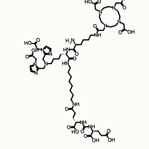 N[C@@H](CCCCNC(=O)CN1CCN(CC(=O)O)CCN(CC(=O)O)CCN(CC(=O)O)CC1)C(=O)N[C@@H](CCCCN(Cc1nccn1CC(=O)O)Cc1nccn1CC(=O)O)C(=O)NCCCCCCCCNC(=O)CC[C@H](NC(=O)N[C@@H](CCC(=O)O)C(=O)O)C(=O)O